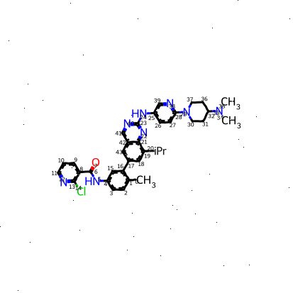 Cc1ccc(NC(=O)c2cccnc2Cl)cc1-c1cc(C(C)C)c2nc(Nc3ccc(N4CCC(N(C)C)CC4)nc3)ncc2c1